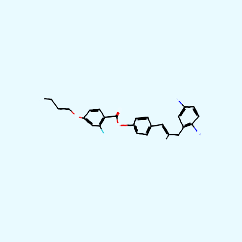 Nc1ccc(N)c(CC(=Cc2ccc(OC(=O)c3ccc(OCCCC(F)(F)F)cc3F)cc2)C(=O)O)c1